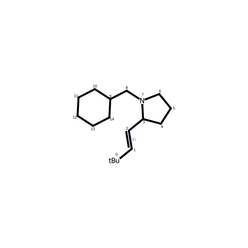 CC(C)(C)/C=C/C1CCCN1CC1CCCCC1